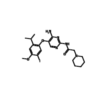 COc1cc(C(C)C)c(Oc2cnc(NC(=O)CN3CCCCC3)nc2N)cc1I